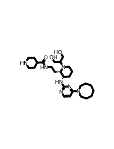 O=C(NCC[C@@H]1[C@@H](Nc2nccc(N3CCCCCCC3)n2)CCCN1C(CO)CO)C1CCNCC1